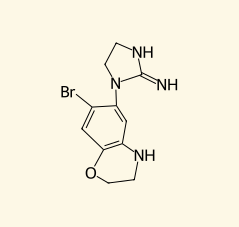 N=C1NCCN1c1cc2c(cc1Br)OCCN2